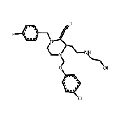 O=C=C1C(CCNCCO)N(COc2ccc(Cl)cc2)CCN1Cc1ccc(F)cc1